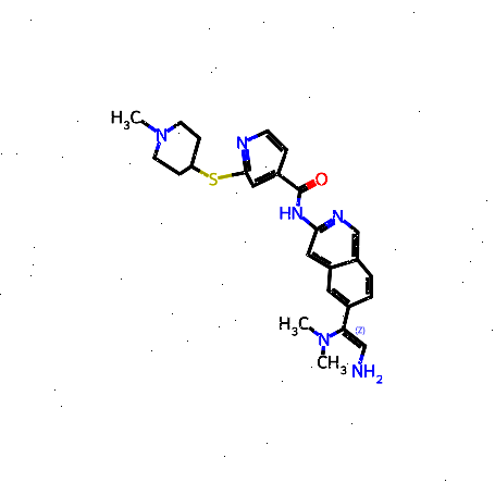 CN1CCC(Sc2cc(C(=O)Nc3cc4cc(/C(=C/N)N(C)C)ccc4cn3)ccn2)CC1